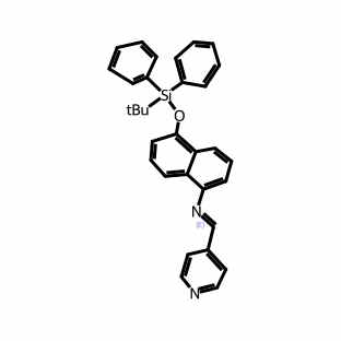 CC(C)(C)[Si](Oc1cccc2c(/N=C/c3ccncc3)cccc12)(c1ccccc1)c1ccccc1